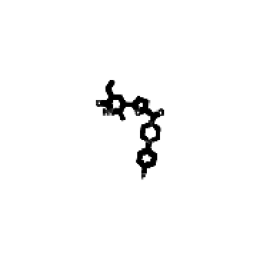 CCc1cc(-c2ccc(C(=O)N3CCN(c4ccc(F)cc4)CC3)o2)c(C)[nH]c1=O